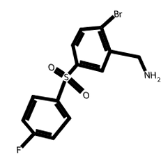 NCc1cc(S(=O)(=O)c2ccc(F)cc2)ccc1Br